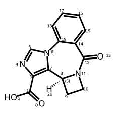 O=C(O)c1ncn2c1[C@@H]1CCN1C(=O)c1ccccc1-2